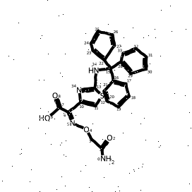 NC(=O)CO/N=C(/C(=O)O)c1csc(NC(c2ccccc2)(c2ccccc2)c2ccccc2)n1